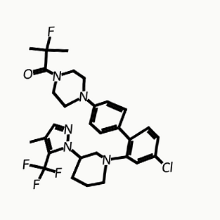 Cc1cnn(C2CCCN(c3cc(Cl)ccc3-c3ccc(N4CCN(C(=O)C(C)(C)F)CC4)cc3)C2)c1C(F)(F)F